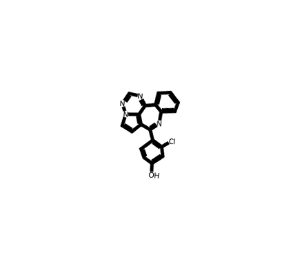 Oc1ccc(C2=Nc3ccccc3-c3ncnn4ccc2c34)c(Cl)c1